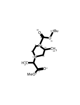 COC(=O)C(C)N1CCN(C(=O)OC(C)(C)C)C(C)C1